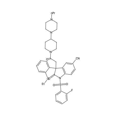 CCCN1CCN(C2CCN(C(=O)CC3(c4ccccc4OCC)C(=O)N(S(=O)(=O)c4ccccc4F)c4ccc(C#N)cc43)CC2)CC1